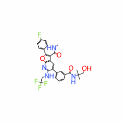 CNC(=O)c1c(-c2ccc(F)cc2)oc2nc(NCC(F)(F)F)c(-c3cccc(C(=O)NC(C)(C)CO)c3)cc12